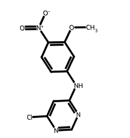 COc1cc(Nc2cc(Cl)ncn2)ccc1[N+](=O)[O-]